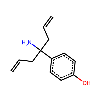 C=CCC(N)(CC=C)c1ccc(O)cc1